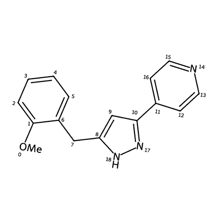 COc1ccccc1Cc1cc(-c2ccncc2)n[nH]1